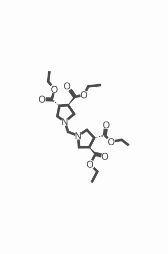 CCOC(=O)[C@H]1CN(CN2C[C@H](C(=O)OCC)[C@@H](C(=O)OCC)C2)C[C@@H]1C(=O)OCC